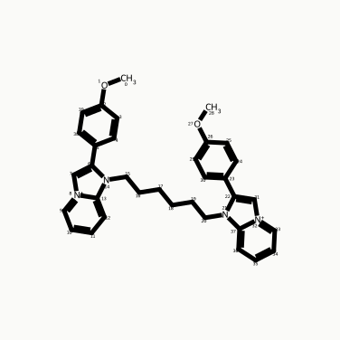 COc1ccc(-c2c[n+]3ccccc3n2CCCCCCn2c(-c3ccc(OC)cc3)c[n+]3ccccc23)cc1